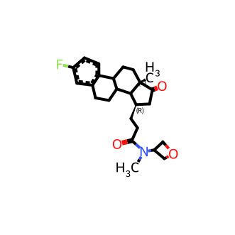 CN(C(=O)CC[C@@H]1CC(=O)[C@@]2(C)CCC3c4ccc(F)cc4CCC3C12)C1COC1